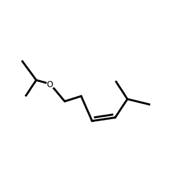 CC(C)/C=C\CCOC(C)C